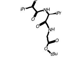 CC(C)C(=O)C(=O)N[C@H](C(=O)NCC(=O)OC(C)(C)C)C(C)C